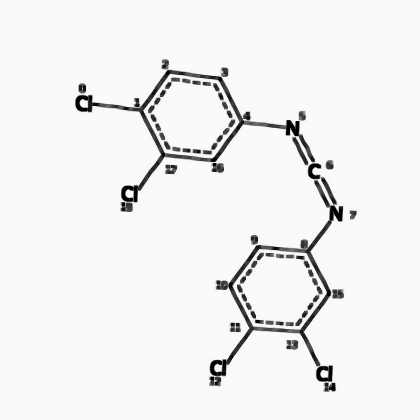 Clc1ccc(N=C=Nc2ccc(Cl)c(Cl)c2)cc1Cl